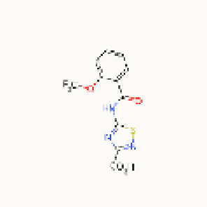 O=C(O)c1nsc(NC(=O)c2ccccc2OC(F)(F)F)n1